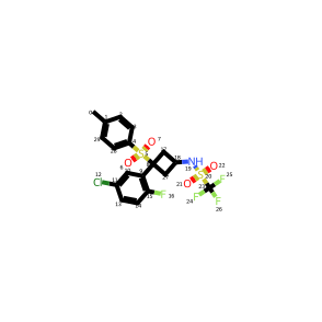 Cc1ccc(S(=O)(=O)C2(c3cc(Cl)ccc3F)CC(NS(=O)(=O)C(F)(F)F)C2)cc1